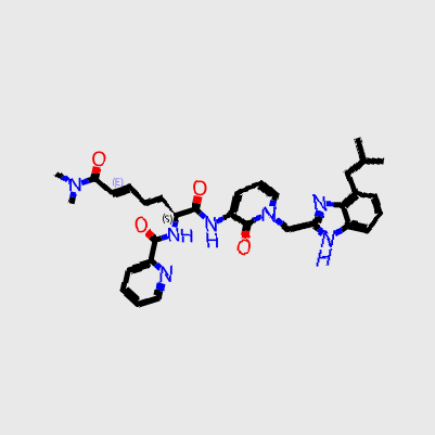 CC(C)Cc1cccc2[nH]c(Cn3cccc(NC(=O)[C@H](CC/C=C/C(=O)N(C)C)NC(=O)c4ccccn4)c3=O)nc12